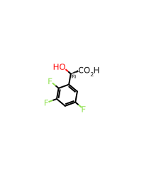 O=C(O)[C@H](O)c1cc(F)cc(F)c1F